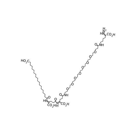 NN[C@@H](CCCCNC(=O)CCOCCOCCOCCOCCOCCOCCOCCOCCNC(=O)CC[C@H](NC(=O)CC[C@H](NC(=O)CCCCCCCCCCCCCCCCCCC(=O)O)C(=O)O)C(=O)O)C(=O)O